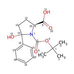 CC(C)(C)OC(=O)N1[C@H](C(=O)O)CCC1(O)c1ccccc1